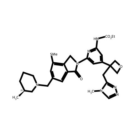 CCOC(=O)Nc1cc(C2(Cc3nncn3C)COC2)cc(N2Cc3c(SC)cc(CN4CCC[C@H](C)C4)cc3C2=O)n1